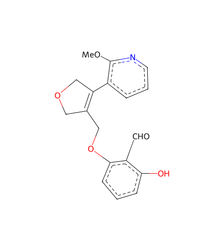 COc1ncccc1C1=C(COc2cccc(O)c2C=O)COC1